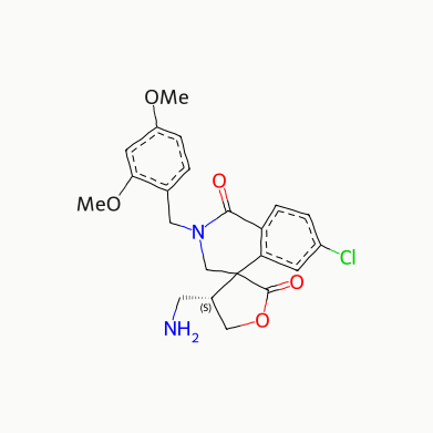 COc1ccc(CN2CC3(C(=O)OC[C@@H]3CN)c3cc(Cl)ccc3C2=O)c(OC)c1